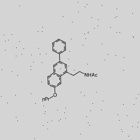 CCCOc1ccc2cc(-c3ccccc3)cc(CCNC(C)=O)c2c1